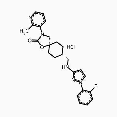 Cc1ncccc1N1C[C@]2(CC[C@@H](CNc3ccn(-c4ccccc4F)n3)CC2)OC1=O.Cl